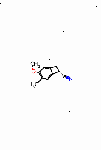 COc1cc2c(cc1C)[C@@H](C#N)C2